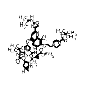 C=C[C@@H]1C[C@]1(NC(=O)[C@@H]1C[C@@H](Oc2cc(-c3coc(NC(C)C)n3)nc3c(Cl)c(OCCN4CCN(C(=O)OC(C)(C)C)CC4)ccc23)CN1C(=O)[C@@H](NC(=O)OC1C[C@@H]2C[C@@H]2C1)C(C)(C)C)C(=O)OC